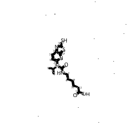 CC(C)N(C(=O)NCCCCCC(=O)O)c1ccc2nc(S)sc2n1